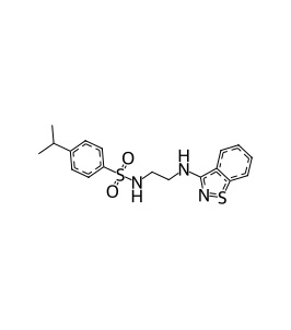 CC(C)c1ccc(S(=O)(=O)NCCNc2nsc3ccccc23)cc1